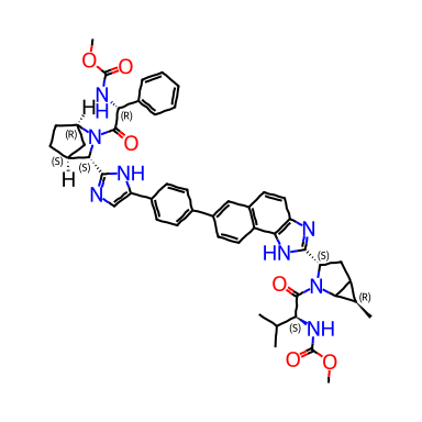 COC(=O)N[C@H](C(=O)N1C2C(C[C@H]1c1nc3ccc4cc(-c5ccc(-c6cnc([C@@H]7[C@H]8CC[C@H](C8)N7C(=O)[C@H](NC(=O)OC)c7ccccc7)[nH]6)cc5)ccc4c3[nH]1)[C@H]2C)C(C)C